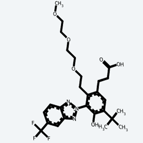 COCCOCCOCCc1c(CCC(=O)O)cc(C(C)(C)C)c(O)c1-n1nc2ccc(C(F)(F)F)cc2n1